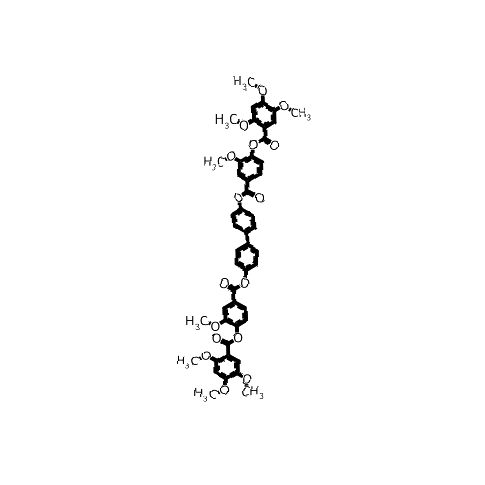 COc1cc(OC)c(C(=O)Oc2ccc(C(=O)Oc3ccc(-c4ccc(OC(=O)c5ccc(OC(=O)c6cc(OC)c(OC)cc6OC)c(OC)c5)cc4)cc3)cc2OC)cc1OC